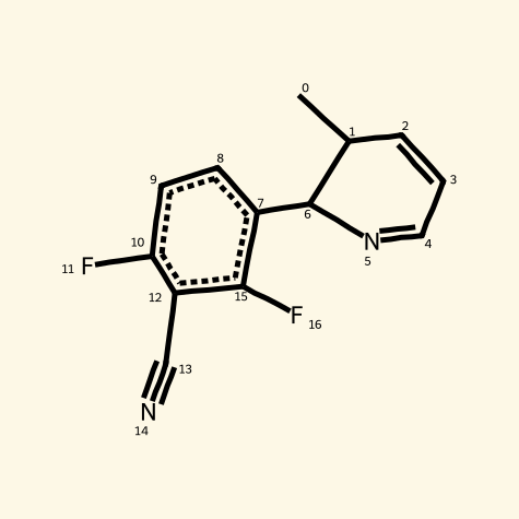 CC1C=CC=NC1c1ccc(F)c(C#N)c1F